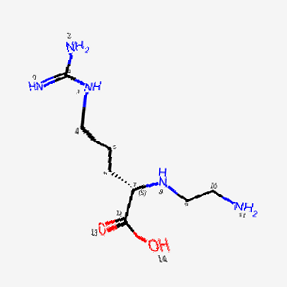 N=C(N)NCCC[C@H](NCCN)C(=O)O